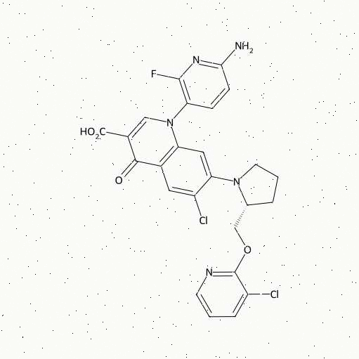 Nc1ccc(-n2cc(C(=O)O)c(=O)c3cc(Cl)c(N4CCC[C@@H]4COc4ncccc4Cl)cc32)c(F)n1